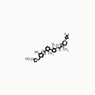 Cc1c(NC(=O)c2nc3c(n2C)CCN(C2CC(F)(F)C2)C3)cccc1-c1cccc(-c2nc3cc(CN4CCC(C(=O)O)C4)cc(C#N)c3o2)c1C